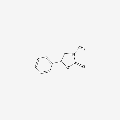 CN1CC(c2ccccc2)OC1=O